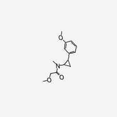 COCC(=O)N(C)C1CC1c1cccc(OC)c1